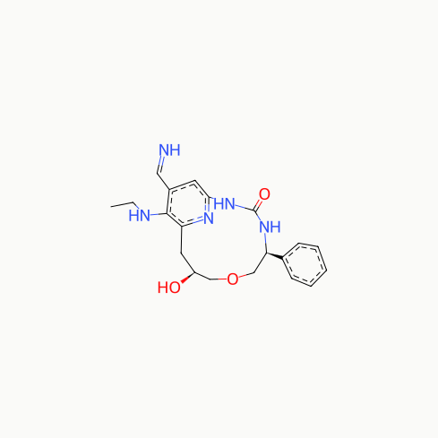 CCNc1c(C=N)cc2nc1C[C@H](O)COC[C@H](c1ccccc1)NC(=O)N2